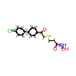 O=C(CCSCC(=O)c1ccc(-c2ccc(Cl)cc2)cc1)NO